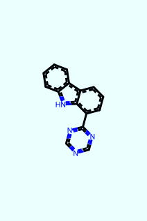 c1ccc2c(c1)[nH]c1c(-c3ncncn3)cccc12